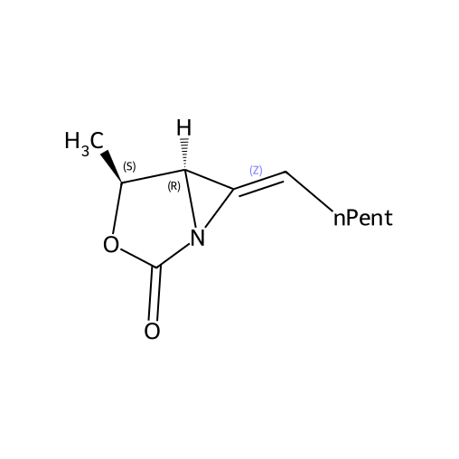 CCCCC/C=C1/[C@@H]2[C@H](C)OC(=O)N12